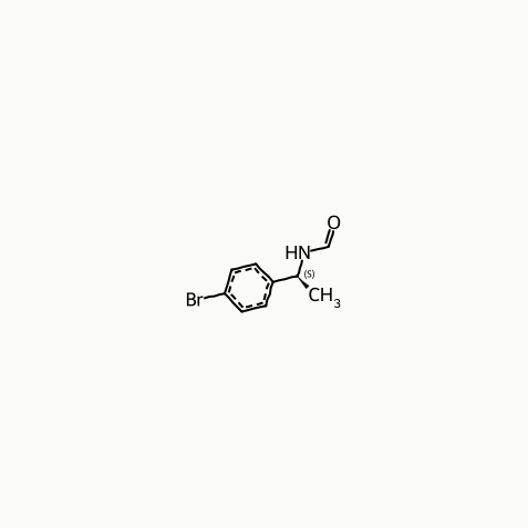 C[C@H](NC=O)c1ccc(Br)cc1